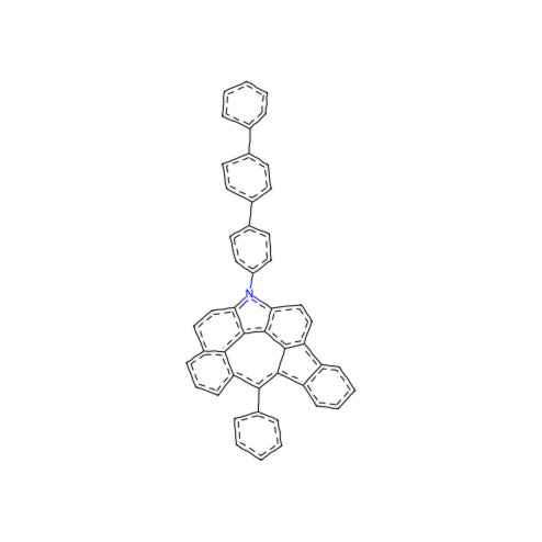 c1ccc(-c2ccc(-c3ccc(-n4c5ccc6c7c5c5c8c(cccc8c(-c8ccccc8)c-7c7ccccc76)ccc54)cc3)cc2)cc1